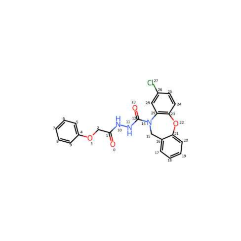 O=C(COc1ccccc1)NNC(=O)N1Cc2ccccc2Oc2ccc(Cl)cc21